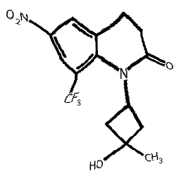 CC1(O)CC(N2C(=O)CCc3cc([N+](=O)[O-])cc(C(F)(F)F)c32)C1